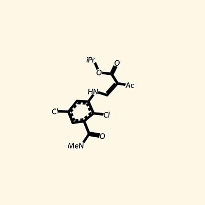 CNC(=O)c1cc(Cl)cc(NC=C(C(C)=O)C(=O)OC(C)C)c1Cl